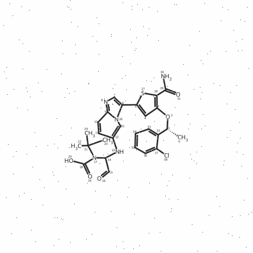 C[C@@H](Oc1cc(-c2cnc3ccc(NC(C=O)N(C(=O)O)C(C)(C)C)cn23)sc1C(N)=O)c1ccccc1Cl